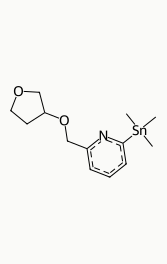 [CH3][Sn]([CH3])([CH3])[c]1cccc(COC2CCOC2)n1